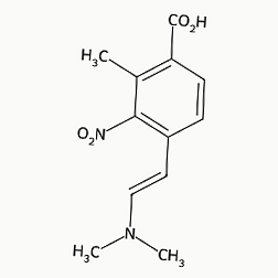 Cc1c(C(=O)O)ccc(C=CN(C)C)c1[N+](=O)[O-]